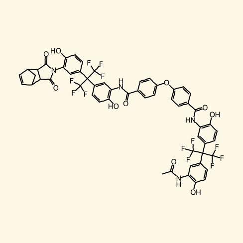 CC(=O)Nc1cc(C(c2ccc(O)c(NC(=O)c3ccc(Oc4ccc(C(=O)Nc5cc(C(c6ccc(O)c(N7C(=O)C8C9C=CC(C9)C8C7=O)c6)(C(F)(F)F)C(F)(F)F)ccc5O)cc4)cc3)c2)(C(F)(F)F)C(F)(F)F)ccc1O